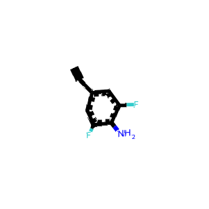 C#Cc1cc(F)c(N)c(F)c1